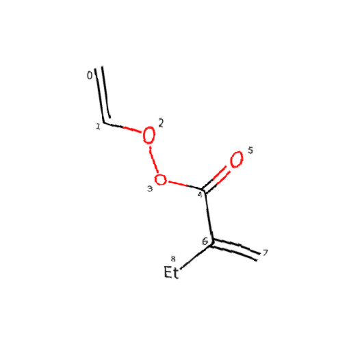 C=COOC(=O)C(=C)CC